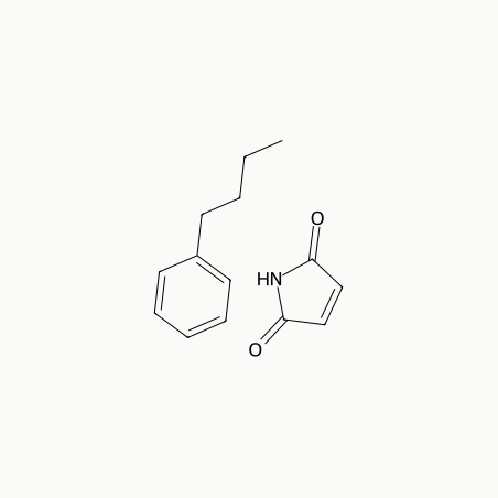 CCCCc1ccccc1.O=C1C=CC(=O)N1